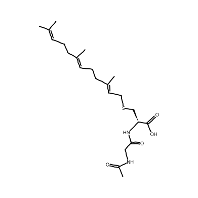 CC(=O)NCC(=O)N[C@@H](CSC/C=C(\C)CC/C=C(\C)CCC=C(C)C)C(=O)O